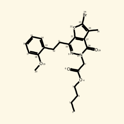 CCCCOC(=O)Cn1nc(CCc2ccccc2OC)c2sc(Br)c(C)c2c1=O